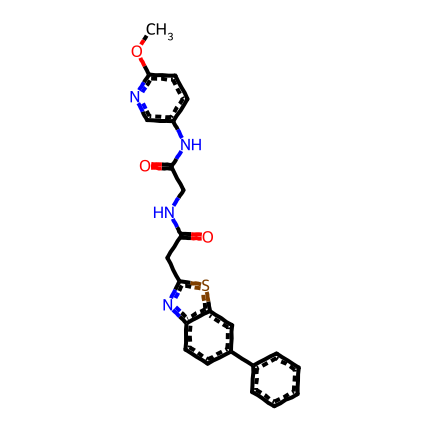 COc1ccc(NC(=O)CNC(=O)Cc2nc3ccc(-c4ccccc4)cc3s2)cn1